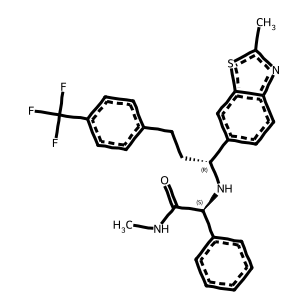 CNC(=O)[C@@H](N[C@H](CCc1ccc(C(F)(F)F)cc1)c1ccc2nc(C)sc2c1)c1ccccc1